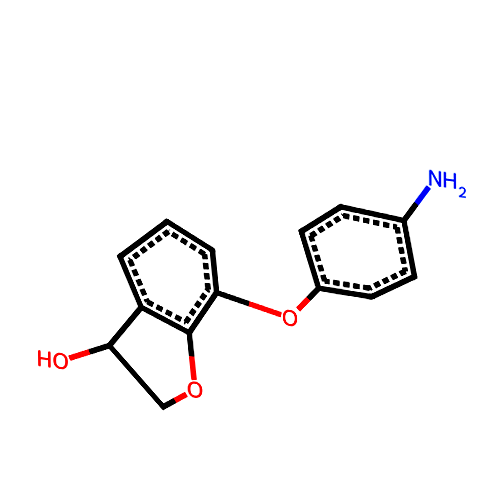 Nc1ccc(Oc2cccc3c2OCC3O)cc1